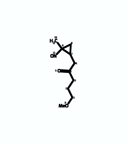 COCCCC(=O)CC1CC1(C)N=O